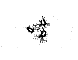 O=C(Bc1ccccc1)O[C@@H](Cc1c(Cl)cncc1Cl)c1ccc(O)c(O)c1